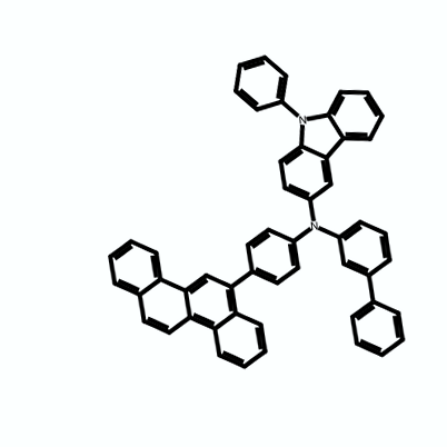 c1ccc(-c2cccc(N(c3ccc(-c4cc5c6ccccc6ccc5c5ccccc45)cc3)c3ccc4c(c3)c3ccccc3n4-c3ccccc3)c2)cc1